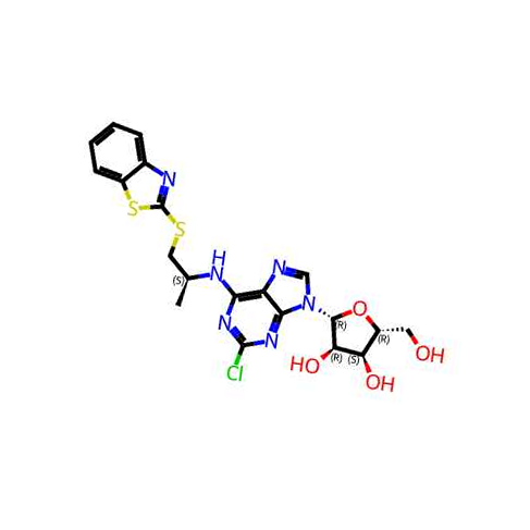 C[C@@H](CSc1nc2ccccc2s1)Nc1nc(Cl)nc2c1ncn2[C@@H]1O[C@H](CO)[C@@H](O)[C@H]1O